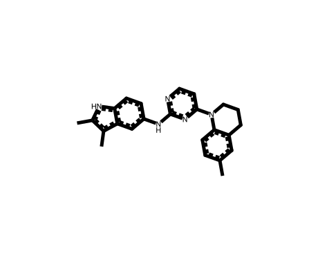 Cc1ccc2c(c1)CCCN2c1ccnc(Nc2ccc3[nH]c(C)c(C)c3c2)n1